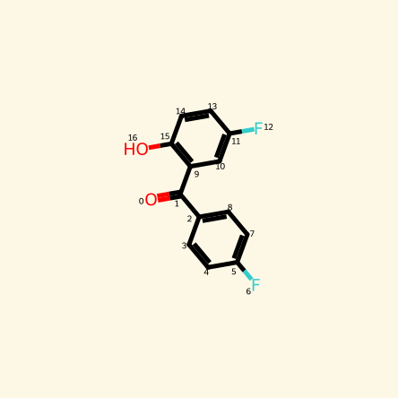 O=C(c1ccc(F)cc1)c1cc(F)ccc1O